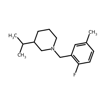 Cc1ccc(F)c(CN2CCCC(C(C)C)C2)c1